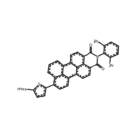 CCCCCCc1ccc(-c2ccc3c4ccc5c6c(ccc(c7cccc2c73)c64)C(=O)N(c2c(C(C)C)cccc2C(C)C)C5=O)s1